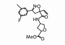 C=CC1(C(=O)NC2COC(C(=O)OC)C2)CC(c2cc(C)cc(F)c2)=NO1